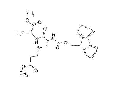 COC(=O)CCSC[C@@H](NC(=O)OCC1c2ccccc2-c2ccccc21)C(=O)N[C@H](C)C(=O)OC